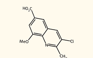 COc1cc(C(=O)O)cc2cc(Cl)c(C)nc12